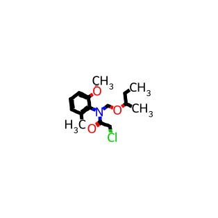 CCC(C)OCN(C(=O)CCl)c1c(C)cccc1OC